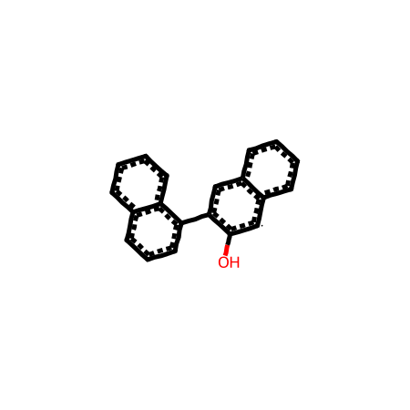 Oc1[c]c2ccccc2cc1-c1cccc2ccccc12